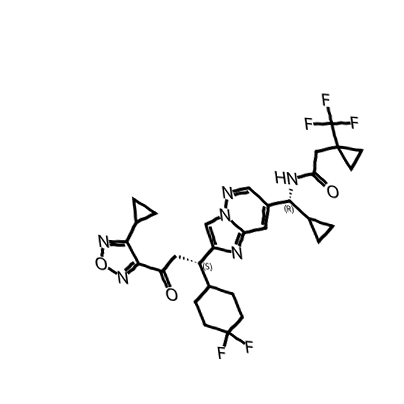 O=C(CC1(C(F)(F)F)CC1)N[C@@H](c1cnn2cc([C@@H](CC(=O)c3nonc3C3CC3)C3CCC(F)(F)CC3)nc2c1)C1CC1